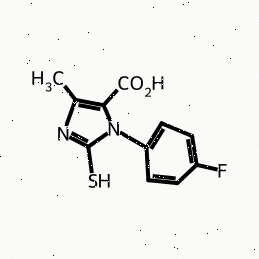 Cc1nc(S)n(-c2ccc(F)cc2)c1C(=O)O